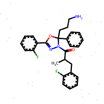 CC(Cc1ccccc1F)C(=O)N1N=C(c2ccccc2F)OC1(CCCN)c1ccccc1